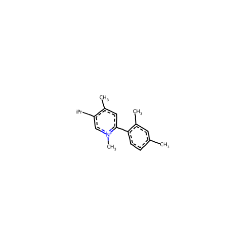 Cc1ccc(-c2cc(C)c(C(C)C)c[n+]2C)c(C)c1